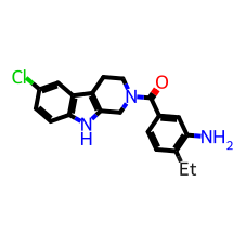 CCc1ccc(C(=O)N2CCc3c([nH]c4ccc(Cl)cc34)C2)cc1N